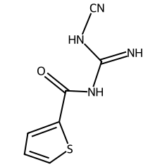 N#CNC(=N)NC(=O)c1cccs1